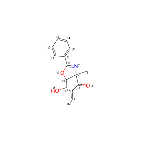 CC=CC(=O)C1(C)N=C(c2ccccc2)OC1CO